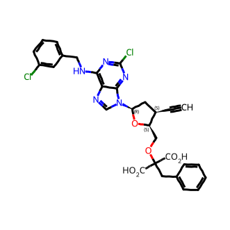 C#C[C@@H]1C[C@H](n2cnc3c(NCc4cccc(Cl)c4)nc(Cl)nc32)O[C@@H]1COC(Cc1ccccc1)(C(=O)O)C(=O)O